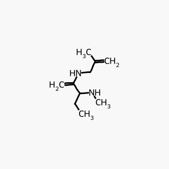 C=C(C)CNC(=C)C(CC)NC